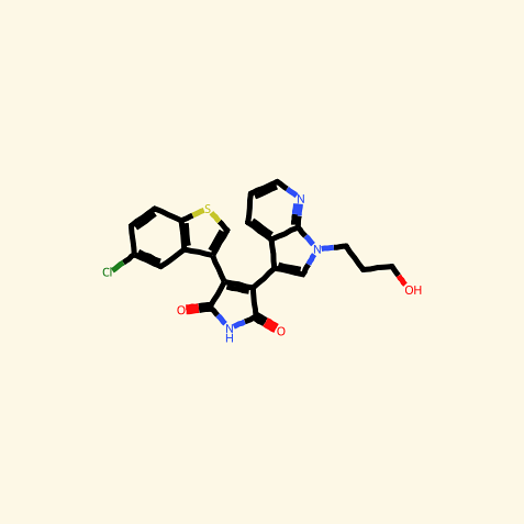 O=C1NC(=O)C(c2cn(CCCO)c3ncccc23)=C1c1csc2ccc(Cl)cc12